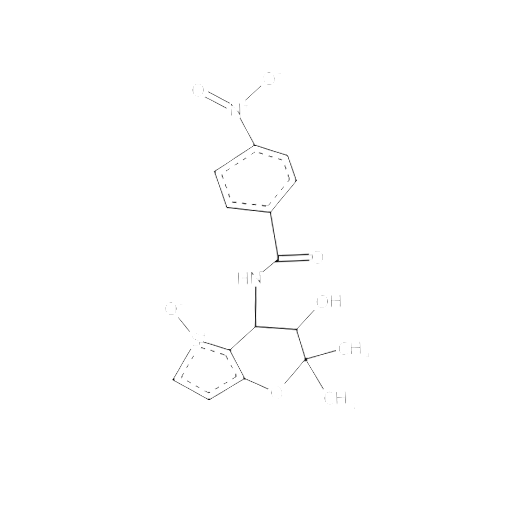 CC1(C)Oc2cc[s+]([O-])c2C(NC(=O)c2ccc([N+](=O)[O-])cc2)C1O